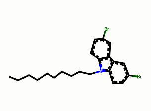 CCCCCCCCCCn1c2ccc(Br)cc2c2cc(Br)ccc21